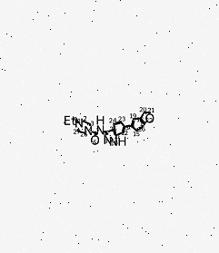 CCN1CCN(C(=O)Nc2n[nH]c3cc(-c4ccc5c(c4)CCO5)ccc23)CC1